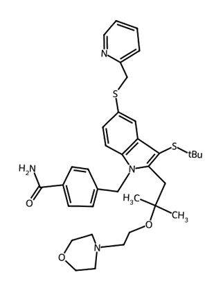 CC(C)(Cc1c(SC(C)(C)C)c2cc(SCc3ccccn3)ccc2n1Cc1ccc(C(N)=O)cc1)OCCN1CCOCC1